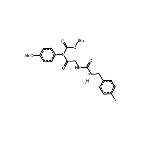 COc1ccc(N(C(=O)CNC(=O)[C@@H](N)Cc2ccc(F)cc2)C(=O)OC(C)(C)C)cc1